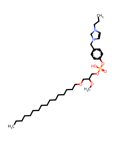 CCCCCCCCCCCCCCCCOCC(COP(=O)(O)Oc1ccc(CN2[CH]N(CCC)C=C2)cc1)OC